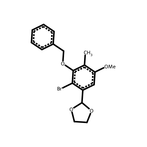 COc1cc(C2OCCO2)c(Br)c(OCc2ccccc2)c1C